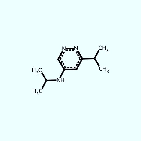 CC(C)Nc1cnnc(C(C)C)c1